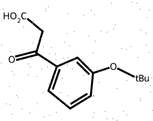 CC(C)(C)Oc1[c]ccc(C(=O)CC(=O)O)c1